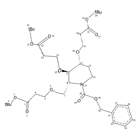 CC(C)(C)OC(=O)CCOC[C@@H]1[C@@H](OCCC(=O)OC(C)(C)C)[C@H](OCCC(=O)OC(C)(C)C)CCN1C(=O)OCc1ccccc1